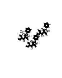 CCC(CC)C(=O)c1c(C)[nH]n(-c2ccccc2)c1=O.CCC(CC)C(=O)c1c(C)[nH]n(-c2ccccc2)c1=O.CCC(CC)C(=O)c1c(C)[nH]n(-c2ccccc2)c1=O.[Tb]